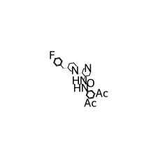 CC(=O)c1cc(NC(=O)N[C@@H]2CCN(C)C[C@H]2CN2CCC[C@@H](Cc3ccc(F)cc3)C2)cc(C(C)=O)c1